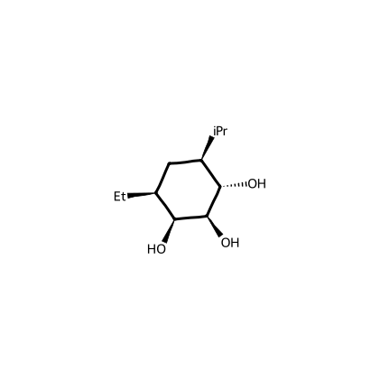 CC[C@H]1C[C@@H](C(C)C)[C@H](O)[C@@H](O)[C@H]1O